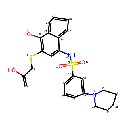 C=C(O)CSc1cc(NS(=O)(=O)c2cccc(N3CCCCC3)c2)c2ccccc2c1O